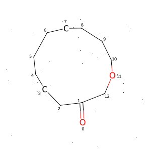 O=C1CCCCCCCCCOC1